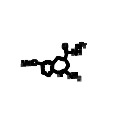 CCCNC(=O)C1=Cc2cc(OC)ccc2N=C(N)C1